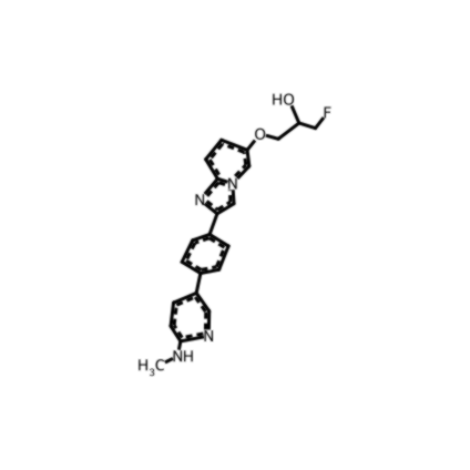 CNc1ccc(-c2ccc(-c3cn4cc(OCC(O)CF)ccc4n3)cc2)cn1